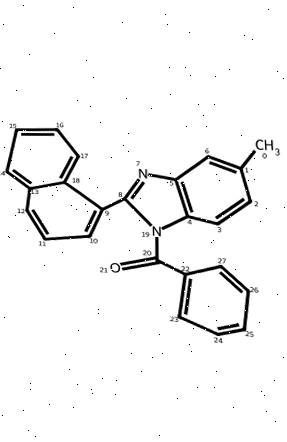 Cc1ccc2c(c1)nc(-c1cccc3ccccc13)n2C(=O)c1ccccc1